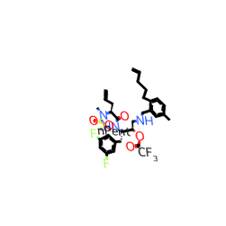 C=CCCCc1ccc(C)cc1CNC[C@@H](OC(=O)C(F)(F)F)[C@H](Cc1cc(F)cc(F)c1)NC(=O)[C@H](CC=C)N(C)S(=O)(=O)CCCCC